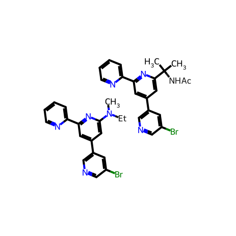 CC(=O)NC(C)(C)c1cc(-c2cncc(Br)c2)cc(-c2ccccn2)n1.CCN(C)c1cc(-c2cncc(Br)c2)cc(-c2ccccn2)n1